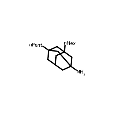 CCCCCCC12CC3CC(N)(CC(CCCCC)(C3)C1)C2